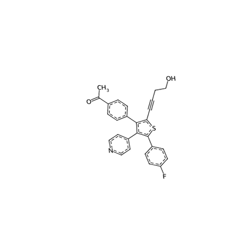 CC(=O)c1ccc(-c2c(C#CCCO)sc(-c3ccc(F)cc3)c2-c2ccncc2)cc1